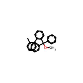 Cc1ccccc1-c1ccccc1C(O[SiH3])(c1ccccc1)c1ccccc1